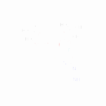 CC(C)(C)OC(=O)OC[C@H]1S[C@@H](n2ccc(N)nc2=O)[C@@H](F)[C@@H]1OC(=O)OC(C)(C)C